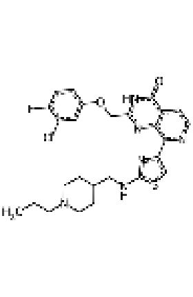 CCCN1CCC(CNc2nc(-c3nccc4c(=O)[nH]c(COc5ccc(F)c(Cl)c5)nc34)cs2)CC1